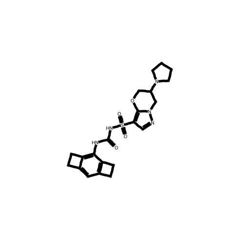 O=C(Nc1c2c(cc3c1CC3)CC2)NS(=O)(=O)c1cnn2c1OCC(N1CCCC1)C2